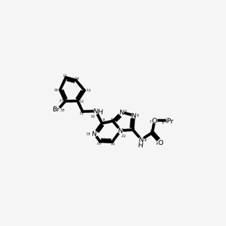 CC(C)OC(=O)Nc1nnc2c(NCc3ccccc3Br)nccn12